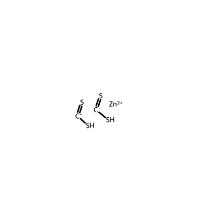 S=[C-]S.S=[C-]S.[Zn+2]